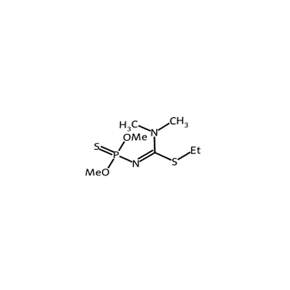 CCSC(=NP(=S)(OC)OC)N(C)C